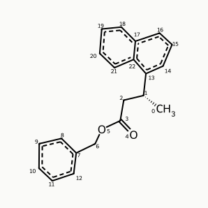 C[C@H](CC(=O)OCc1ccccc1)c1cccc2ccccc12